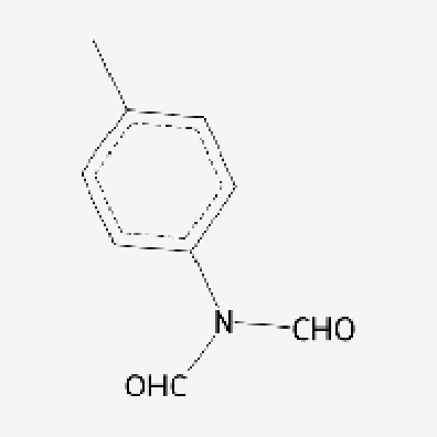 Cc1ccc(N(C=O)C=O)cc1